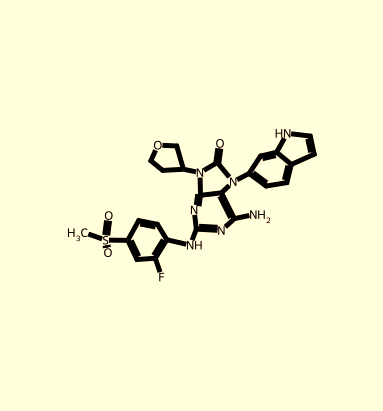 CS(=O)(=O)c1ccc(Nc2nc(N)c3c(n2)n(C2CCOC2)c(=O)n3-c2ccc3cc[nH]c3c2)c(F)c1